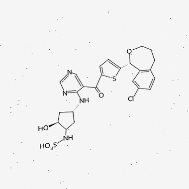 O=C(c1ccc([C@@H]2OCCCc3ccc(Cl)cc32)s1)c1cncnc1N[C@@H]1C[C](NS(=O)(=O)O)[C@@H](O)C1